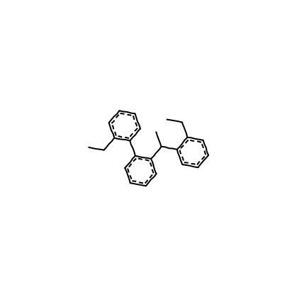 CCc1ccccc1-c1ccccc1C(C)c1ccccc1CC